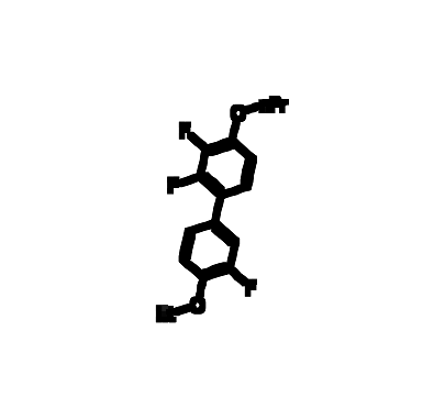 CCCOc1ccc(-c2ccc(OCC)c(F)c2)c(F)c1F